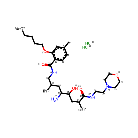 COCCCCOc1cc(C)ccc1C(=O)NCC(CC(N)C(O)CC(C(=O)NCCN1CCOCC1)C(C)C)C(C)C.Cl.Cl